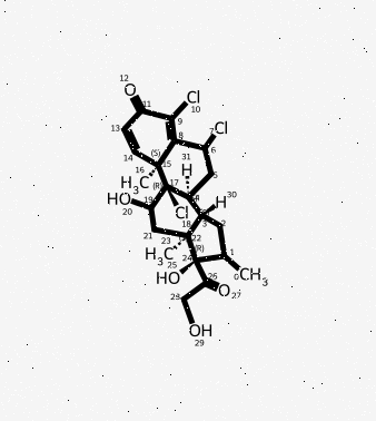 CC1C[C@H]2[C@@H]3CC(Cl)C4=C(Cl)C(=O)C=C[C@]4(C)[C@@]3(Cl)C(O)C[C@]2(C)[C@@]1(O)C(=O)CO